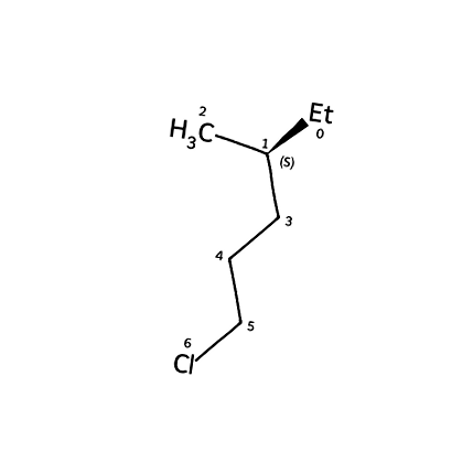 CC[C@H](C)CCCCl